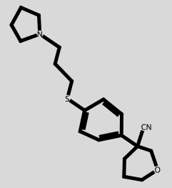 N#CC1(c2ccc(SCCCN3CCCC3)cc2)CCCOC1